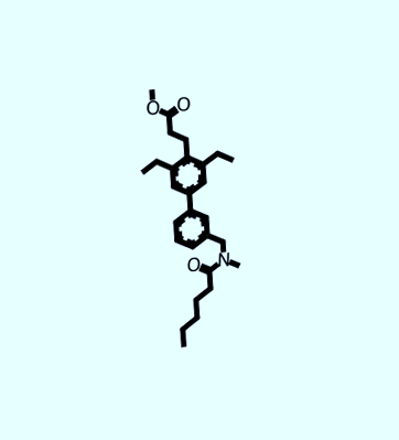 CCCCCC(=O)N(C)Cc1cccc(-c2cc(CC)c(CCC(=O)OC)c(CC)c2)c1